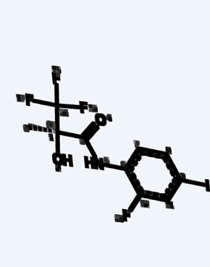 C[C@@](O)(C(=O)Nc1ccc(I)cc1F)C(F)(F)F